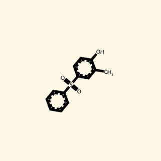 Cc1cc(S(=O)(=O)c2ccccc2)ccc1O